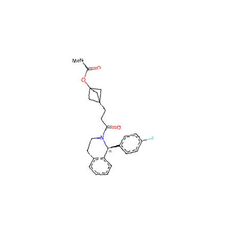 CNC(=O)OC12CC(CCC(=O)N3CCc4ccccc4[C@@H]3c3ccc(F)cc3)(C1)C2